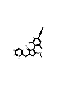 CC#Cc1cc(C)c(C2=C(OC)CC(Cc3ccccn3)C2=O)c(C)c1